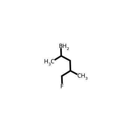 BC(C)CC(C)CF